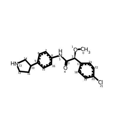 CO[C@H](C(=O)Nc1ccc(C2CCNC2)cc1)c1ccc(Cl)cc1